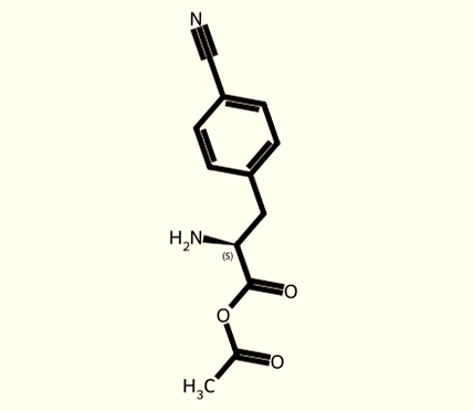 CC(=O)OC(=O)[C@@H](N)Cc1ccc(C#N)cc1